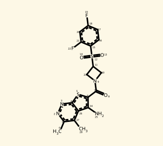 Cc1nnc2sc(C(=O)N3CC(S(=O)(=O)c4ccc(F)cc4F)C3)c(N)c2c1C